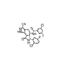 N#Cc1n[nH]c2c3c(c(NC(=O)c4cc(F)cc(Cl)c4)cc12)C(c1cc(F)ccc1Cl)NC3=O